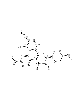 CNC1CCN(c2cc(-c3ccc(C#N)c(F)c3)c(-c3ccc(OC)cc3)n(C)c2=O)CC1